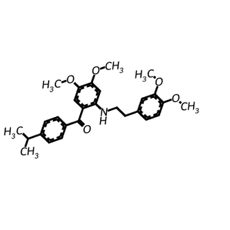 COc1ccc(CCNc2cc(OC)c(OC)cc2C(=O)c2ccc(C(C)C)cc2)cc1OC